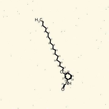 CCCCCCCCCCCCCCCCCCOc1cccc(NC=O)c1